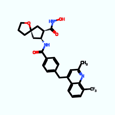 Cc1cc(Cc2ccc(C(=O)N[C@@H]3C[C@@]4(CCCO4)C[C@@H]3C(=O)NO)cc2)c2cccc(C(F)(F)F)c2n1